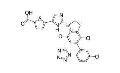 O=C(O)c1ccc(-c2cnc([C@@H]3CCc4c(Cl)c(-c5cc(Cl)ccc5-n5cnnn5)cc(=O)n43)[nH]2)s1